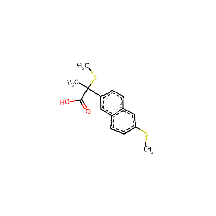 CSc1ccc2cc(C(C)(SC)C(=O)O)ccc2c1